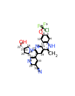 C=C(Nc1ccc(OC(F)(F)Cl)cc1)c1cnc(N2CC[C@H](CO)C2)c(-c2cncc(C#N)c2)c1